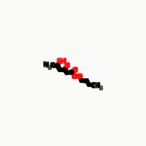 CCCCOOC(=O)CC(=O)CC(C)O